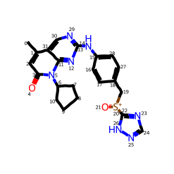 Cc1cc(=O)n(C2CCCC2)c2nc(Nc3ccc(C[S+]([O-])c4ncn[nH]4)cc3)ncc12